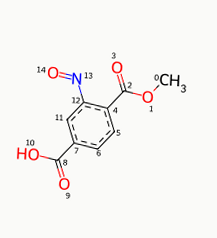 COC(=O)c1ccc(C(=O)O)cc1N=O